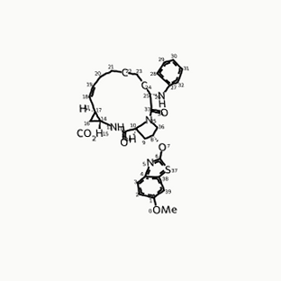 COc1ccc2nc(O[C@@H]3C[C@H]4C(=O)N[C@]5(C(=O)O)C[C@H]5/C=C\CCCCC[C@H](Nc5ccccc5)C(=O)N4C3)sc2c1